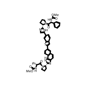 COC(=O)N[C@H](C(=O)N1CCC[C@H]1c1nc2ccc3cc(-c4cc5ccc(-c6cnc([C@@H]7CCCN7C(=O)[C@H](NC(=O)OC)c7ccccc7)[nH]6)cc5s4)ccc3c2[nH]1)C(C)C